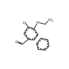 CCOc1ccc(C=O)cc1Cl.c1ccccc1